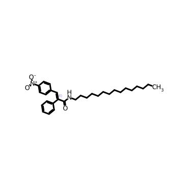 CCCCCCCCCCCCCCCNC(=O)/C(=C/c1ccc([N+](=O)[O-])cc1)c1ccccc1